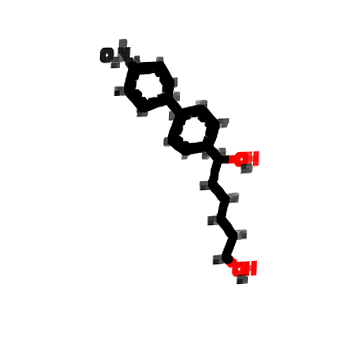 O=[N+]([O-])c1ccc(-c2ccc(C(O)CCCCCO)cc2)cc1